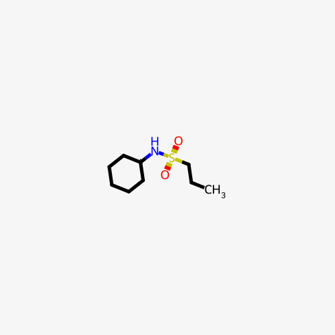 CCCS(=O)(=O)N[C]1CCCCC1